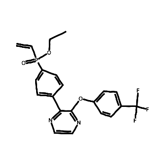 C=CP(=O)(OCC)c1ccc(-c2nccnc2Oc2ccc(C(F)(F)F)cc2)cc1